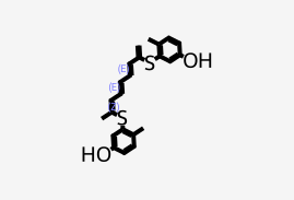 C=C(/C=C/C=C/C=C(/C)Sc1cc(O)ccc1C)Sc1cc(O)ccc1C